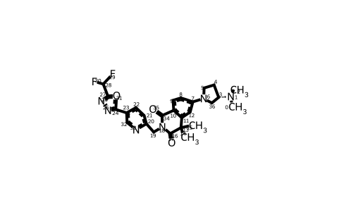 CN(C)[C@H]1CCN(c2ccc3c(c2)C(C)(C)C(=O)N(Cc2ccc(-c4nnc(C(F)F)o4)cn2)C3=O)C1